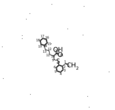 C=Cc1ccccc1SCC(CCCc1ccccc1)C(=O)O